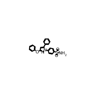 NS(=O)(=O)c1ccc(-n2nc(Oc3ccccc3)cc2-c2ccccc2)cc1